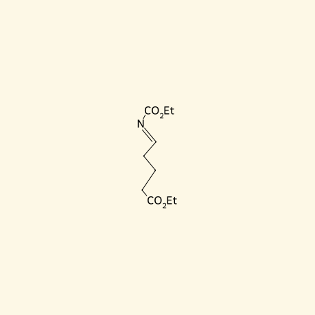 CCOC(=O)CCCC=NC(=O)OCC